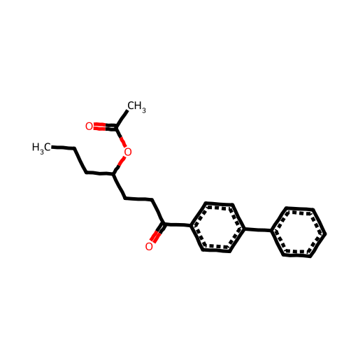 CCCC(CCC(=O)c1ccc(-c2ccccc2)cc1)OC(C)=O